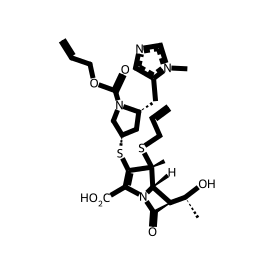 C=CCOC(=O)N1C[C@@H](SC2=C(C(=O)O)N3C(=O)[C@H]([C@@H](C)O)[C@H]3[C@@]2(C)SCC=C)C[C@H]1Cc1cncn1C